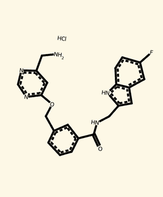 Cl.NCc1cc(OCc2cccc(C(=O)NCc3cc4cc(F)ccc4[nH]3)c2)ncn1